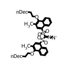 CCCCCCCCCCCCOc1c(C)cc(S(=O)(=O)C(=[N+]=[N-])S(=O)(=O)c2cc(C)c(OCCCCCCCCCCCC)c3ccccc23)c2ccccc12